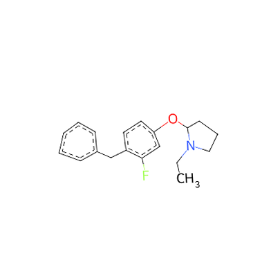 CCN1CCCC1Oc1ccc(Cc2ccccc2)c(F)c1